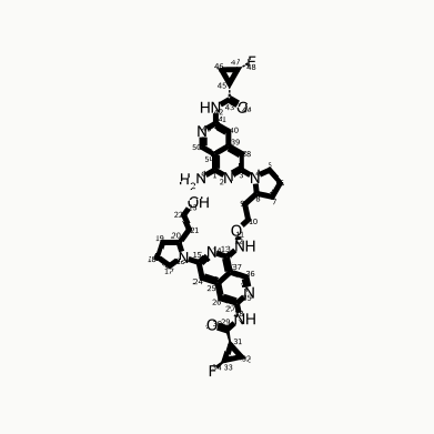 Nc1nc(N2CCCC2CCONc2nc(N3CCCC3CCO)cc3cc(NC(=O)[C@H]4C[C@H]4F)ncc23)cc2cc(NC(=O)[C@@H]3C[C@@H]3F)ncc12